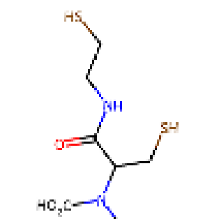 CN(C(=O)O)C(CS)C(=O)NCCS